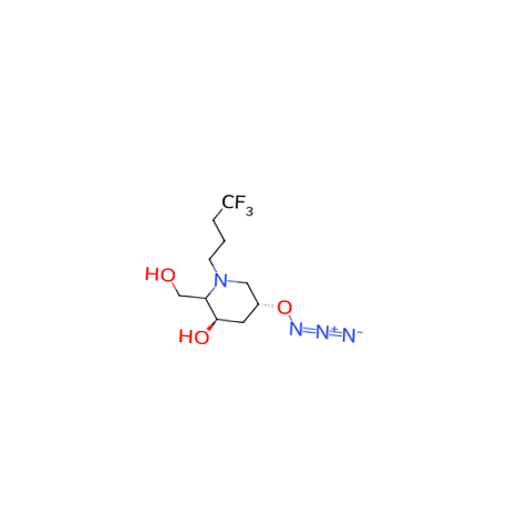 [N-]=[N+]=NO[C@@H]1C[C@@H](O)C(CO)N(CCCC(F)(F)F)C1